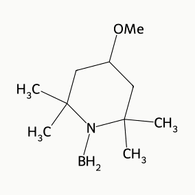 BN1C(C)(C)CC(OC)CC1(C)C